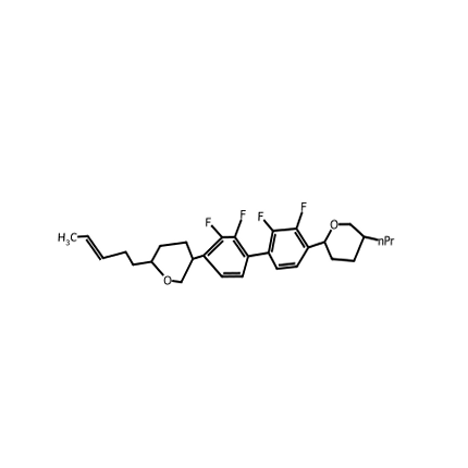 C/C=C/CCC1CCC(c2ccc(-c3ccc(C4CCC(CCC)CO4)c(F)c3F)c(F)c2F)CO1